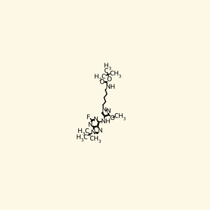 COc1nn(CCCCCNC(=O)OC(C)(C)C)cc1Nc1nc(F)nc2c1ncn2C(C)(C)C